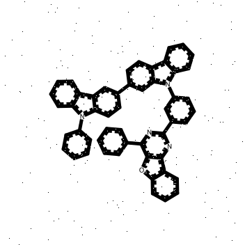 c1ccc(-c2nc(-c3cccc(-n4c5ccccc5c5ccc(-c6ccc7c(c6)c6ccccc6n7-c6ccccc6)cc54)c3)nc3c2oc2ccccc23)cc1